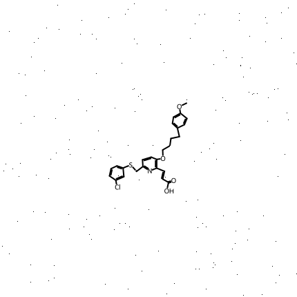 COc1ccc(CCCCOc2ccc(CSc3cccc(Cl)c3)nc2C=CC(=O)O)cc1